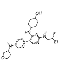 CCC(F)CNc1ncc(-c2ccc(N(C)C3CCOC3)cn2)c(NC2CCC(O)CC2)n1